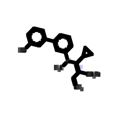 C=C/C(C(=O)OCC)=C(/C1CC1)N(C)c1cccc(-c2cccc(O)c2)c1